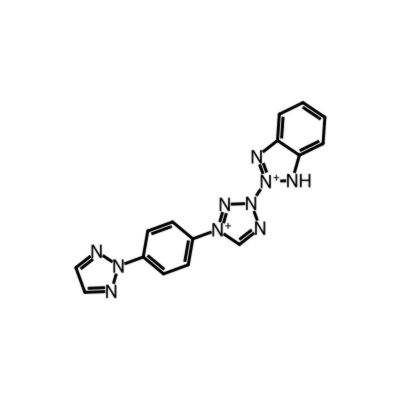 c1ccc2[nH][n+](-n3nc[n+](-c4ccc(-n5nccn5)cc4)n3)nc2c1